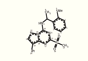 CSc1ccccc1C(C)Nc1nc(S(C)(=O)=O)nc2c(C(C)C)cnn12